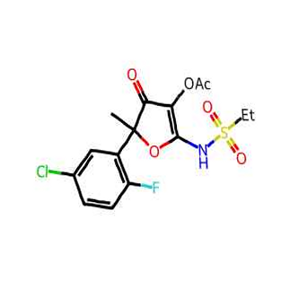 CCS(=O)(=O)NC1=C(OC(C)=O)C(=O)C(C)(c2cc(Cl)ccc2F)O1